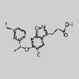 CCc1cccc(C(C)Oc2cc3onc(CCC(=O)O)c3cc2Cl)n1